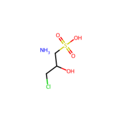 N.O=S(=O)(O)CC(O)CCl